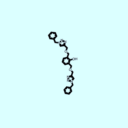 Oc1c(COCc2cn(Cc3ccccc3)nn2)cccc1COCc1cn(Cc2ccccc2)nn1